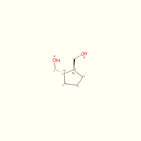 OC[C@H]1CCC[C@@H]1CO